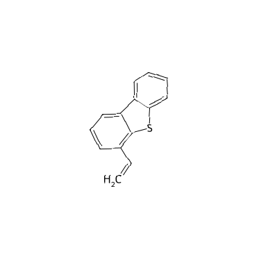 C=Cc1cccc2c1sc1ccccc12